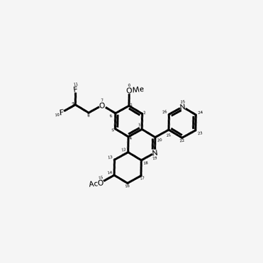 COc1cc2c(cc1OCC(F)F)C1CC(OC(C)=O)CCC1N=C2c1cccnc1